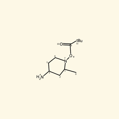 CC1CC(N)CCN1OC(=O)C(C)(C)C